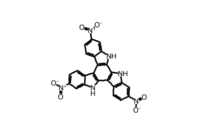 O=[N+]([O-])c1ccc2c(c1)[nH]c1c3[nH]c4cc([N+](=O)[O-])ccc4c3c3c4ccc([N+](=O)[O-])cc4[nH]c3c21